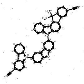 CC1(C)c2ccc(C#N)cc2-c2ccc3c(c21)c1ccccc1n3-c1ccc2oc3ccc(-n4c5ccccc5c5cc(C#N)ccc54)cc3c2c1